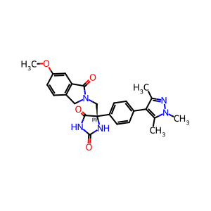 COc1ccc2c(c1)C(=O)N(C[C@@]1(c3ccc(-c4c(C)nn(C)c4C)cc3)NC(=O)NC1=O)C2